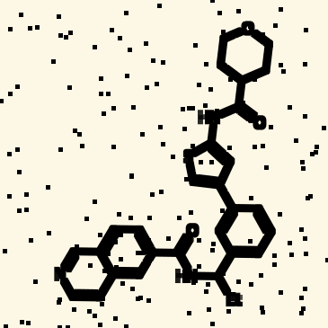 CCC(NC(=O)c1ccc2cnccc2c1)c1cccc(-c2csc(NC(=O)C3CCOCC3)c2)c1